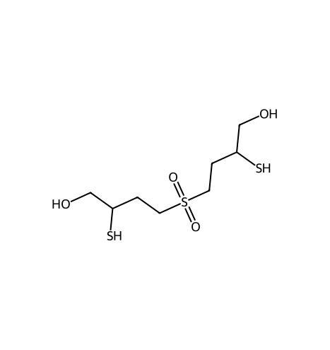 O=S(=O)(CCC(S)CO)CCC(S)CO